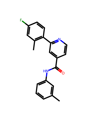 Cc1cccc(NC(=O)c2ccnc(-c3ccc(F)cc3C)c2)c1